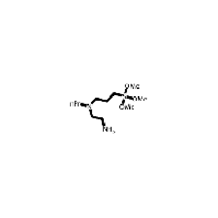 CCCN(CCN)CCC[Si](OC)(OC)OC